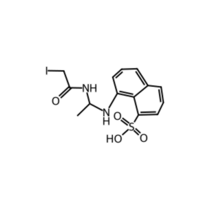 CC(NC(=O)CI)Nc1cccc2cccc(S(=O)(=O)O)c12